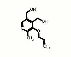 C=CCOc1c(C)ncc(CO)c1CO